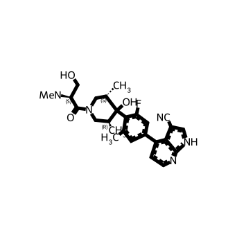 CN[C@@H](CO)C(=O)N1C[C@@H](C)C(O)(c2c(C)cc(-c3ccnc4[nH]cc(C#N)c34)cc2F)[C@@H](C)C1